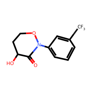 O=C1C(O)CCON1c1cccc(C(F)(F)F)c1